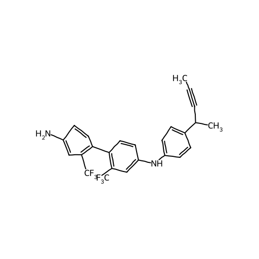 CC#CC(C)c1ccc(Nc2ccc(-c3ccc(N)cc3C(F)(F)F)c(C(F)(F)F)c2)cc1